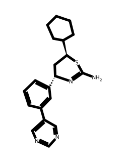 NC1=N[C@H](c2cccc(-c3cncnc3)c2)C[C@@H](C2CCCCC2)S1